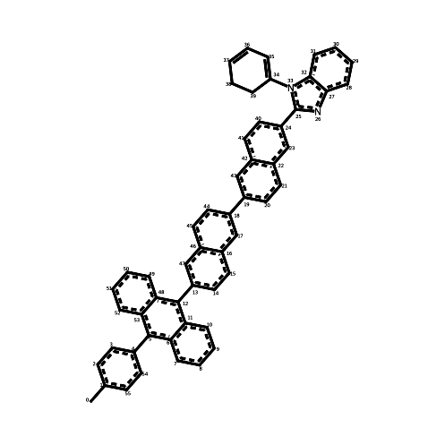 Cc1ccc(-c2c3ccccc3c(-c3ccc4cc(-c5ccc6cc(-c7nc8ccccc8n7C7=CC=CCC7)ccc6c5)ccc4c3)c3ccccc23)cc1